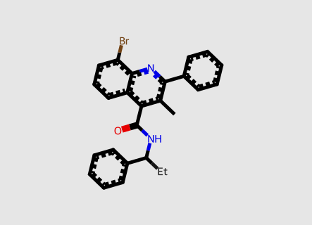 CCC(NC(=O)c1c(C)c(-c2ccccc2)nc2c(Br)cccc12)c1ccccc1